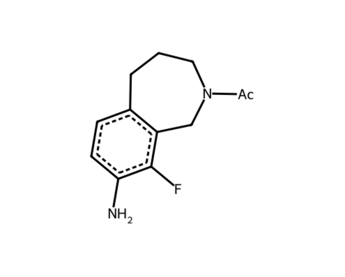 CC(=O)N1CCCc2ccc(N)c(F)c2C1